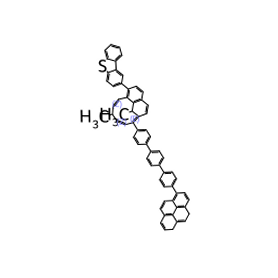 CC1/C=C\C(c2ccc(-c3ccc(-c4ccc(-c5ccc6c7c8c(ccc57)C=CCC8=CC6)cc4)cc3)cc2)=C2\C=Cc3ccc(-c4ccc5sc6ccccc6c5c4)c(c3C2C)/C=C\1